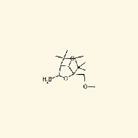 BC1OC2(COC)C(OC)C1C(C)(C)CC2(C)C